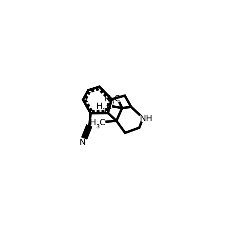 CC12CCNC(Cc3cccc(C#N)c31)C2(C)C